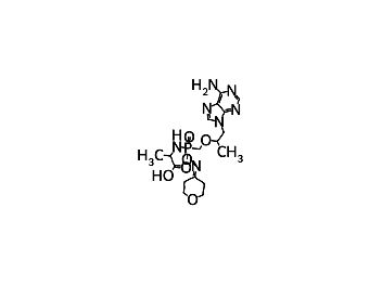 CC(Cn1cnc2c(N)ncnc21)OCP(=O)(NC(C)C(=O)O)ON=C1CCOCC1